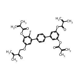 C=C(C)C(=O)COc1cc(OC(=O)C(=C)C)c(F)c(-c2ccc(-c3cc(OC(=O)C(=C)C)cc(OC(=O)C(=C)C)c3)cc2)c1